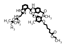 CCOC(=O)CCCCCOc1cc(C)ccc1N(C)C(=O)c1ccc(NC(=O)c2cccc3[nH]c(CNC(=O)OC(C)(C)C)nc23)c(OC)c1